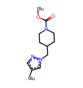 CC(C)(C)OC(=O)N1CCC(Cn2cc(C(C)(C)C)cn2)CC1